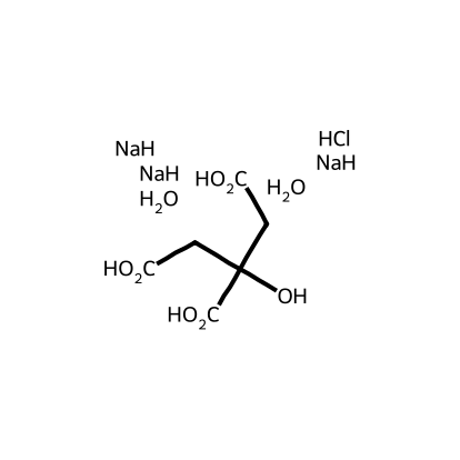 Cl.O.O.O=C(O)CC(O)(CC(=O)O)C(=O)O.[NaH].[NaH].[NaH]